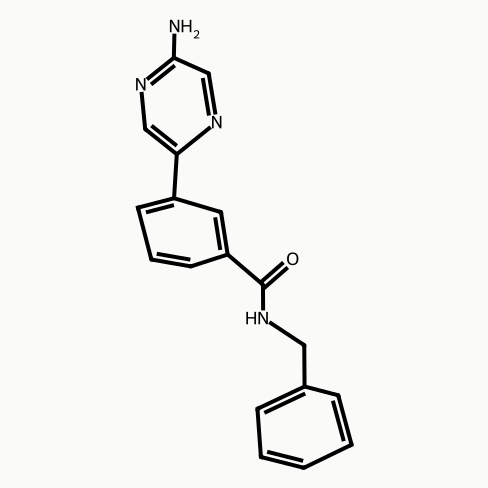 Nc1cnc(-c2cccc(C(=O)NCc3ccccc3)c2)cn1